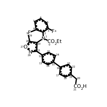 CCOC(=O)N(c1c(F)cccc1F)c1c(-c2ccc(-c3ccc(CC(=O)O)cc3)cc2)noc1C